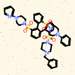 O=S(=O)(c1[c]ccc(-c2ccccc2S(=O)(=O)N2CCN(Cc3ccccc3)CC2)c1-c1ccccc1S(=O)(=O)N1CCN(c2ccccc2)CC1)N1CCN(c2ccccn2)CC1